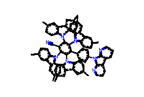 Cc1ccc2c(c1)c1cc(C)ccc1n2-c1c(C#N)c(-n2c3ccc(C)cc3c3cc(C)ccc32)c(-n2c3ccc(C)cc3c3cc(C)ccc32)c(-c2ccc(-n3c4ncccc4c4cccnc43)cc2)c1-n1c2ccc(C)cc2c2cc(C)ccc21